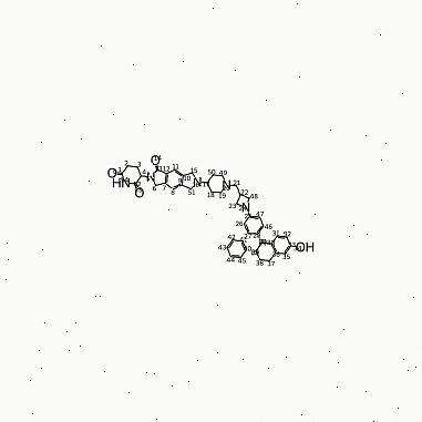 O=C1CCC(N2Cc3cc4c(cc3C2=O)CN(C2CCN(CC3CN(c5ccc([C@@H]6c7ccc(O)cc7CC[C@@H]6c6ccccc6)cc5)C3)CC2)C4)C(=O)N1